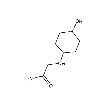 [NH]C(=O)CNC1CCC(O)CC1